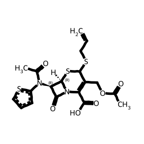 C=CCSC1S[C@@H]2[C@H](N(C(C)=O)c3cccs3)C(=O)N2C(C(=O)O)=C1COC(C)=O